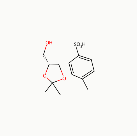 CC1(C)OC[C@@H](CO)O1.Cc1ccc(S(=O)(=O)O)cc1